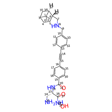 CC1(C)C2CC[C@@H](CNCc3ccc(C#Cc4ccc(C(=O)N[C@@H](CN)C(=O)NO)cc4)cc3)[C@@H]1C2